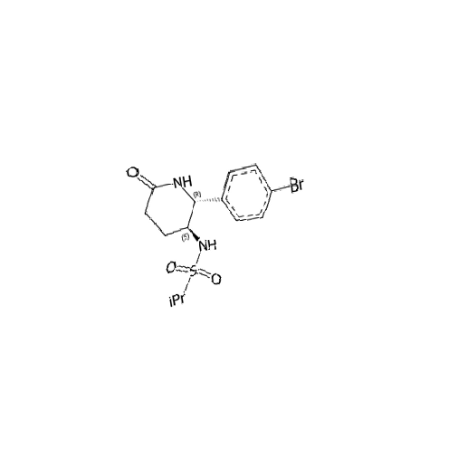 CC(C)S(=O)(=O)N[C@H]1CCC(=O)N[C@@H]1c1ccc(Br)cc1